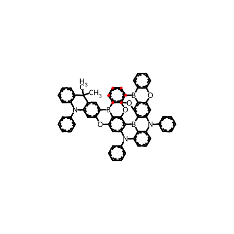 CC1(C)c2ccccc2N(c2ccccc2)c2cc3c(cc21)B1c2ccccc2Oc2c1c(cc1c2B2c4c(cccc4N1c1ccccc1)N(c1ccccc1)c1cc4c5c(c12)Oc1ccccc1B5c1ccccc1O4)O3